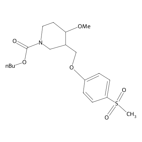 CCCCOC(=O)N1CCC(OC)C(COc2ccc(S(C)(=O)=O)cc2)C1